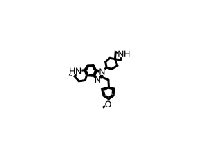 COc1ccc(Cc2nc3c4c(ccc3n2C2CCC3(CC2)CNC3)N[C@@H](C)CC4)cc1